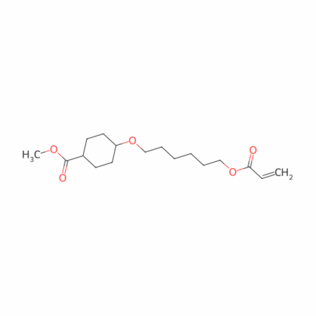 C=CC(=O)OCCCCCCOC1CCC(C(=O)OC)CC1